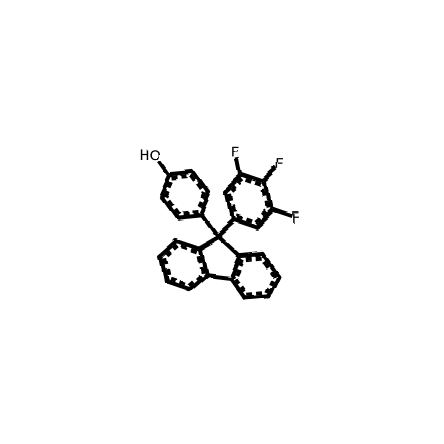 Oc1ccc(C2(c3cc(F)c(F)c(F)c3)c3ccccc3-c3ccccc32)cc1